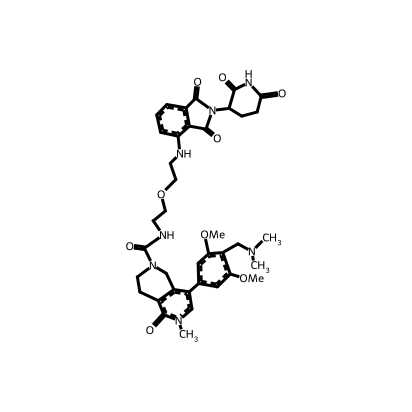 COc1cc(-c2cn(C)c(=O)c3c2CN(C(=O)NCCOCCNc2cccc4c2C(=O)N(C2CCC(=O)NC2=O)C4=O)CC3)cc(OC)c1CN(C)C